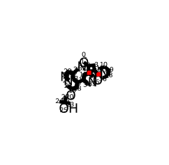 COC1CC(C(=O)N2C3CC2CN(c2ccc(-c4cc(OCC(C)(C)O)cn5ncc(C#N)c45)cn2)C3)C1